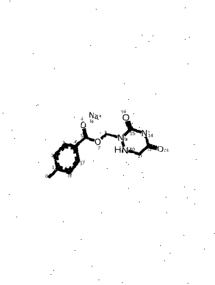 Cc1ccc(C(=O)OCN2NCC(=O)[N-]C2=O)cc1.[Na+]